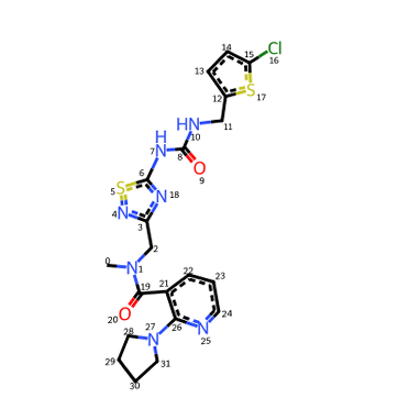 CN(Cc1nsc(NC(=O)NCc2ccc(Cl)s2)n1)C(=O)c1cccnc1N1CCCC1